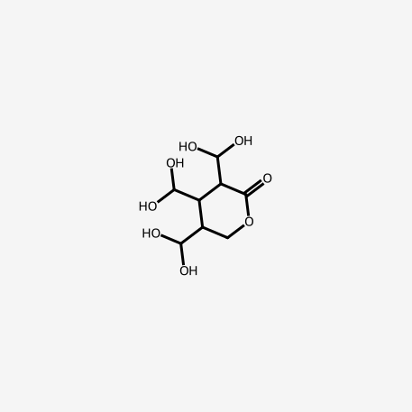 O=C1OCC(C(O)O)C(C(O)O)C1C(O)O